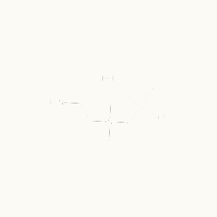 CCCS(=O)(=O)O[N+](C)(C)CCN.Cl